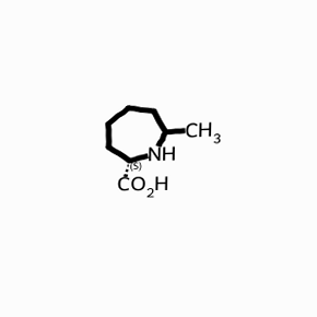 CC1CCCC[C@@H](C(=O)O)N1